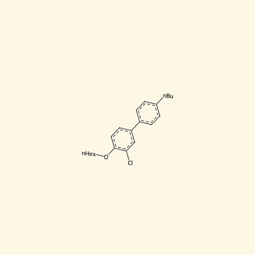 CCCCCCOc1ccc(-c2ccc(CCCC)cc2)cc1Cl